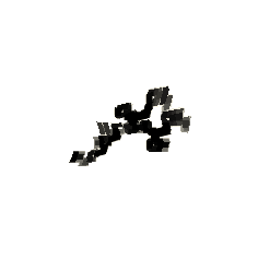 CCC(=O)O.CCC(=O)O.CCNCC